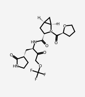 O=C1NCC[C@H]1C[C@@H](NC(=O)[C@@H]1C[C@H]2C[C@H]2N1C(=O)[C@@H]1CCCO1)C(=O)COC(F)(F)F